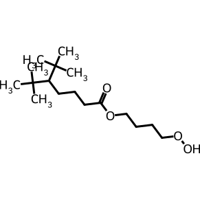 CC(C)(C)C(CCCC(=O)OCCCCOO)C(C)(C)C